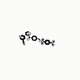 N#Cc1cncc([C@@H]2CCON2C(=O)[C@H]2CC[C@H](COS(=O)(=O)c3ccc([N+](=O)[O-])cc3)CC2)c1